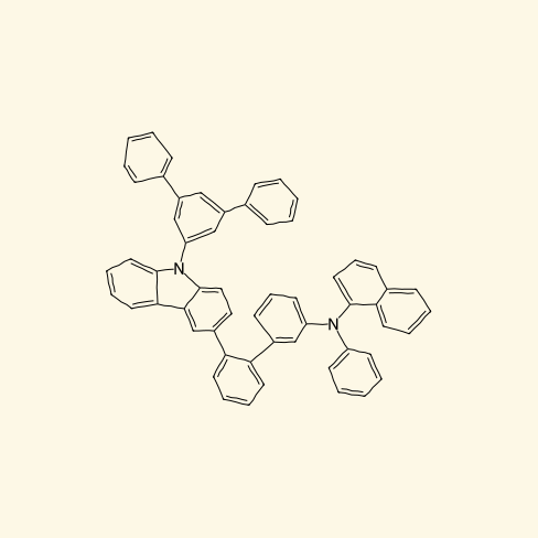 c1ccc(-c2cc(-c3ccccc3)cc(-n3c4ccccc4c4cc(-c5ccccc5-c5cccc(N(c6ccccc6)c6cccc7ccccc67)c5)ccc43)c2)cc1